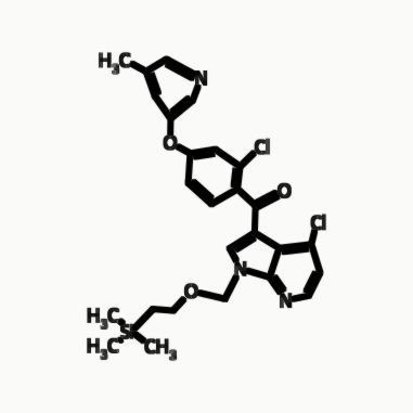 Cc1cncc(Oc2ccc(C(=O)c3cn(COCC[Si](C)(C)C)c4nccc(Cl)c34)c(Cl)c2)c1